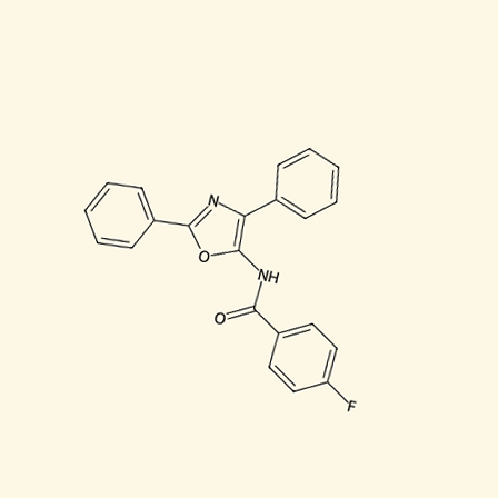 O=C(Nc1oc(-c2ccccc2)nc1-c1ccccc1)c1ccc(F)cc1